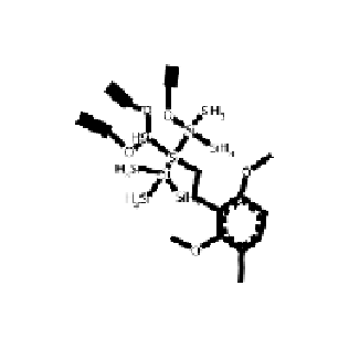 C#CO[SiH](OC#C)[Si](CCc1c(OC)ccc(C)c1OC)([Si]([SiH3])([SiH3])[SiH3])[Si]([SiH3])([SiH3])OC#C